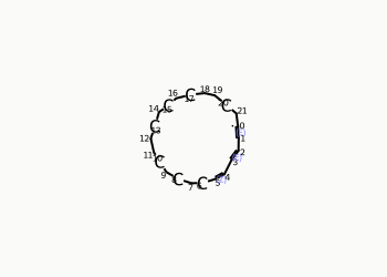 [C]1=C/C=C/C=C\CCCCCCCCCCCCCCCC/1